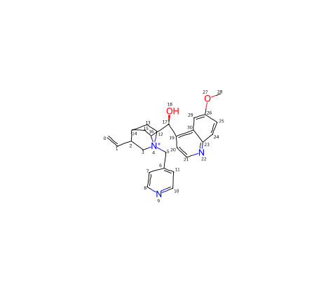 C=CC1C[N+]2(Cc3ccncc3)CCC1CC2[C@@H](O)c1ccnc2ccc(OC)cc12